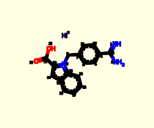 I.N=C(N)c1ccc(Cn2c(C(=O)O)cc3ccccc32)cc1